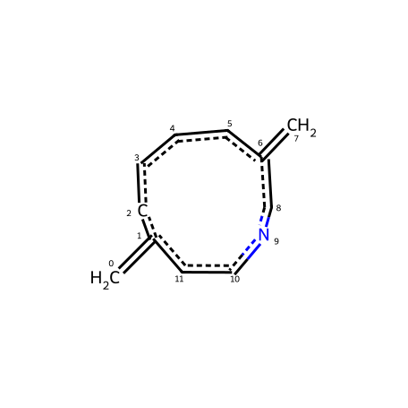 C=c1ccccc(=C)cncc1